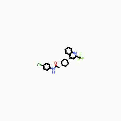 O=C(C[C@H]1CC[C@@H](c2cc(C(F)(F)F)nc3ccccc32)CC1)Nc1ccc(Cl)cc1